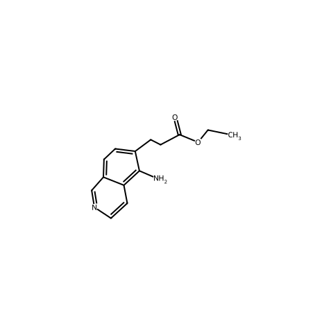 CCOC(=O)CCc1ccc2cnccc2c1N